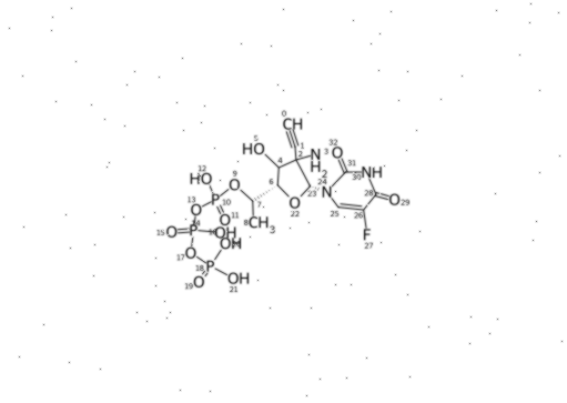 C#CC1(N)C(O)[C@@H](C(C)OP(=O)(O)OP(=O)(O)OP(=O)(O)O)O[C@H]1n1cc(F)c(=O)[nH]c1=O